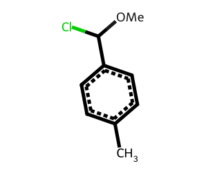 COC(Cl)c1ccc(C)cc1